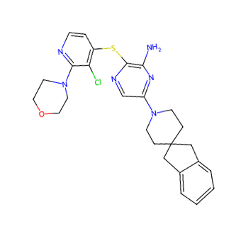 Nc1nc(N2CCC3(CC2)Cc2ccccc2C3)cnc1Sc1ccnc(N2CCOCC2)c1Cl